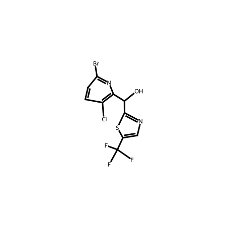 OC(c1ncc(C(F)(F)F)s1)c1nc(Br)ccc1Cl